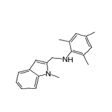 Cc1cc(C)c(NCc2cc3ccccc3n2C)c(C)c1